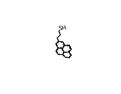 SCCCc1cc2ccc3cccc4ccc(c1)c2c34